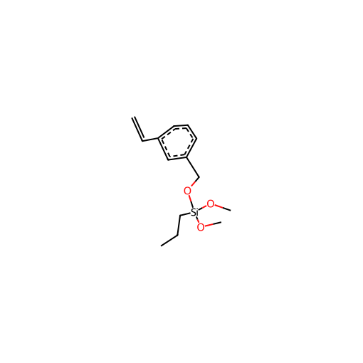 C=Cc1cccc(CO[Si](CCC)(OC)OC)c1